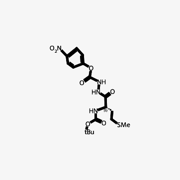 CSCC[C@H](NC(=O)OC(C)(C)C)C(=O)NNC(=O)Oc1ccc([N+](=O)[O-])cc1